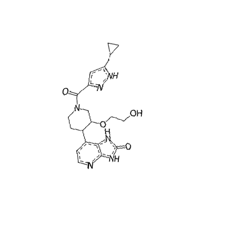 O=C(c1cc(C2CC2)[nH]n1)N1CCC(c2ccnc3[nH]c(=O)[nH]c23)C(OCCO)C1